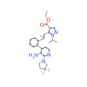 CCOC(=O)c1cnn(C(C)C)c1/C=C/c1ccccc1-c1ccnc(N2CCC(F)(F)C2)c1N